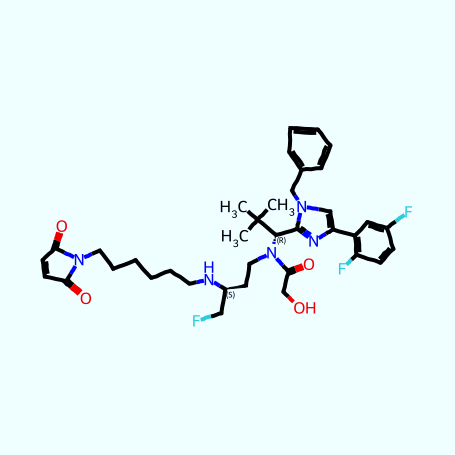 CC(C)(C)[C@H](c1nc(-c2cc(F)ccc2F)cn1Cc1ccccc1)N(CC[C@@H](CF)NCCCCCCN1C(=O)C=CC1=O)C(=O)CO